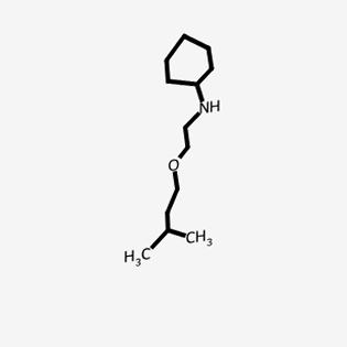 CC(C)CCOCCNC1CCCCC1